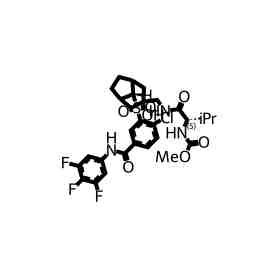 COC(=O)N[C@H](C(=O)NC[C@]1(O)CC2CCC(C1)[C@@H]2S(=O)(=O)c1cc(C(=O)Nc2cc(F)c(F)c(F)c2)ccc1Cl)C(C)C